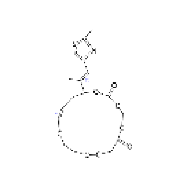 C/C(=C\c1csc(C)n1)C1C/C=C\CCCCCCC(=O)CCCC(=O)O1